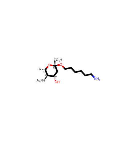 CC(=O)N[C@H]1[C@H](C)O[C@@](OCCCCCCN)(C(=O)O)C[C@@H]1O